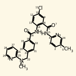 Cc1ccc(NC(=O)c2cc(Cl)ccc2NC(=O)c2ccc(CN(C)c3ccccn3)cc2)nc1